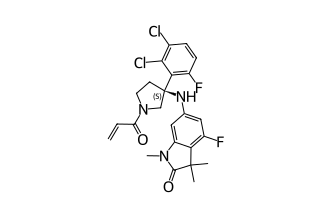 C=CC(=O)N1CC[C@](Nc2cc(F)c3c(c2)N(C)C(=O)C3(C)C)(c2c(F)ccc(Cl)c2Cl)C1